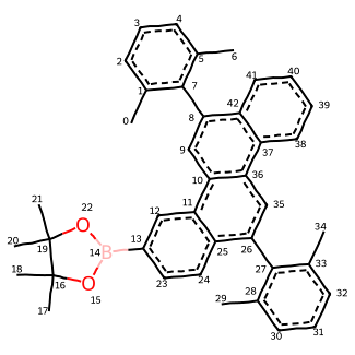 Cc1cccc(C)c1-c1cc2c3cc(B4OC(C)(C)C(C)(C)O4)ccc3c(-c3c(C)cccc3C)cc2c2ccccc12